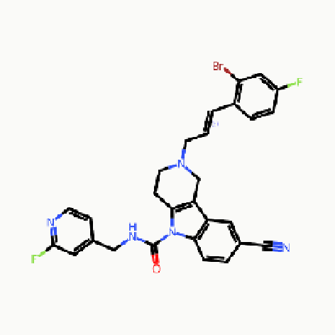 N#Cc1ccc2c(c1)c1c(n2C(=O)NCc2ccnc(F)c2)CCN(C/C=C/c2ccc(F)cc2Br)C1